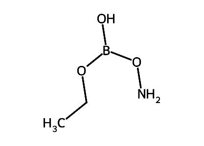 CCOB(O)ON